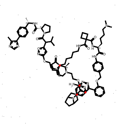 Cc1ncsc1-c1ccc([C@H](C)NC(=O)[C@@H]2CCCN2C(=O)C(c2cc(OCCN3CCN(CCOc4cc(N5C6CCC5CN(c5cc(-c7ccccc7OCc7ccc(NC(=O)[C@H](CCCCN(C)C)NC(=O)C8(C(=O)NCCCCCN9C(=O)C=CC9=O)CCC8)cc7)nnc5N)C6)ccn4)[C@H](C)C3)no2)C(C)C)cc1